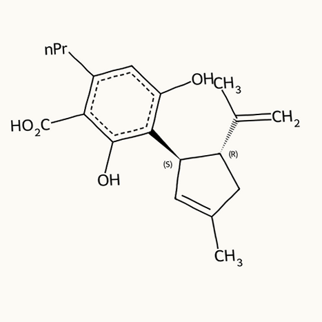 C=C(C)[C@@H]1CC(C)=C[C@H]1c1c(O)cc(CCC)c(C(=O)O)c1O